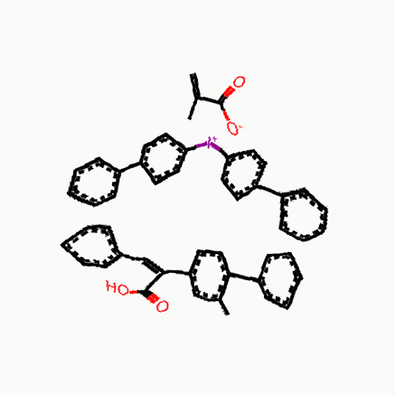 C=C(C)C(=O)[O-].Cc1cc(C(=Cc2ccccc2)C(=O)O)ccc1-c1ccccc1.c1ccc(-c2ccc([I+]c3ccc(-c4ccccc4)cc3)cc2)cc1